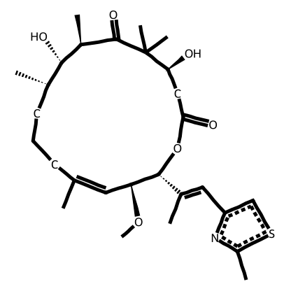 CO[C@H]1/C=C(/C)CCC[C@H](C)[C@H](O)[C@@H](C)C(=O)C(C)(C)[C@@H](O)CC(=O)O[C@@H]1/C(C)=C/c1csc(C)n1